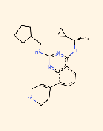 C[C@@H](Nc1nc(NCC2CCCC2)nc2c(C3=CCNCC3)cccc12)C1CC1